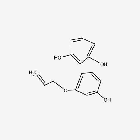 C=CCOc1cccc(O)c1.Oc1cccc(O)c1